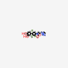 O=C1O[C@@H](Cn2ccnn2)CN1c1cc(F)c([C@H]2CC[C@@H](O)[C@@H](O)C2)c(F)c1F